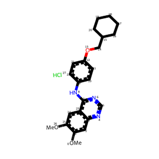 COc1cc2ncnc(Nc3ccc(OCC4CCCCC4)cc3)c2cc1OC.Cl